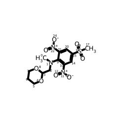 CN(CC1OCCCO1)c1c([N+](=O)[O-])cc(S(C)(=O)=O)cc1[N+](=O)[O-]